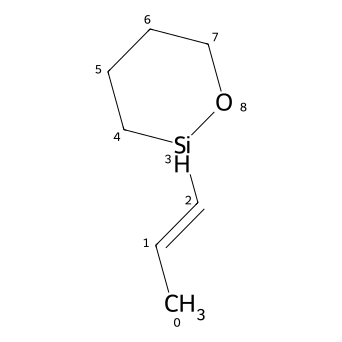 CC=C[SiH]1CCCCO1